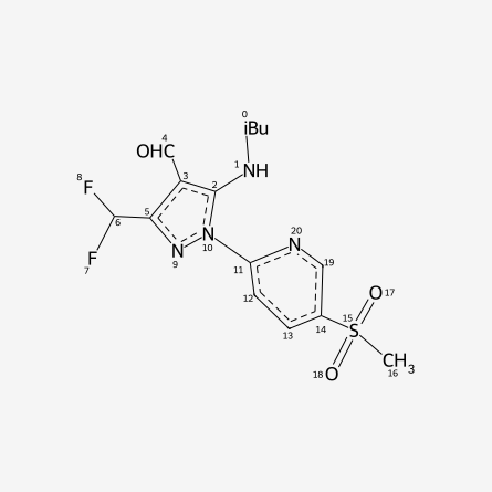 CCC(C)Nc1c(C=O)c(C(F)F)nn1-c1ccc(S(C)(=O)=O)cn1